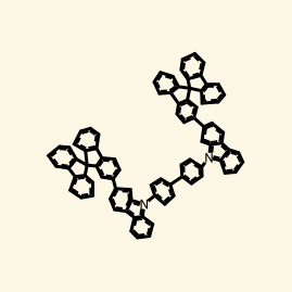 c1ccc2c(c1)-c1ccccc1C21c2ccccc2-c2ccc(-c3ccc4c5ccccc5n(-c5ccc(-c6ccc(-n7c8ccccc8c8ccc(-c9ccc%10c(c9)C9(c%11ccccc%11-c%11ccccc%119)c9ccccc9-%10)cc87)cc6)cc5)c4c3)cc21